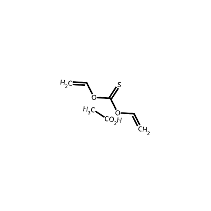 C=COC(=S)OC=C.CC(=O)O